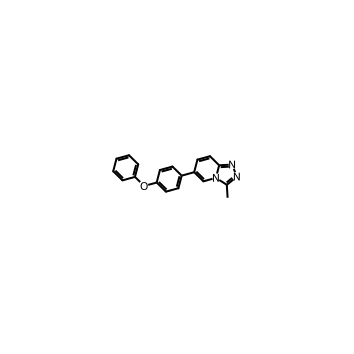 Cc1nnc2ccc(-c3ccc(Oc4ccccc4)cc3)cn12